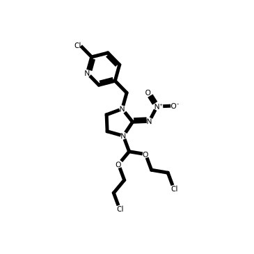 O=[N+]([O-])/N=C1\N(Cc2ccc(Cl)nc2)CCN1C(OCCCl)OCCCl